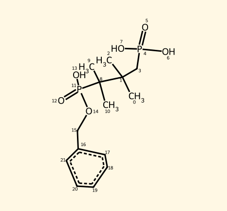 CC(C)(CP(=O)(O)O)C(C)(C)P(=O)(O)OCc1ccccc1